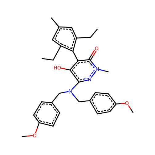 CCc1cc(C)cc(CC)c1-c1c(O)c(N(Cc2ccc(OC)cc2)Cc2ccc(OC)cc2)nn(C)c1=O